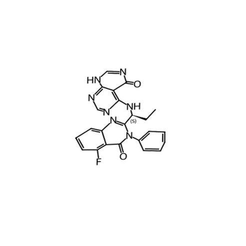 CC[C@H](Nc1ncnc2[nH]cnc(=O)c12)c1nc2cccc(F)c2c(=O)n1-c1ccccc1